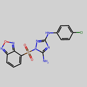 Nc1nc(Nc2ccc(Cl)cc2)nn1S(=O)(=O)c1cccc2nonc12